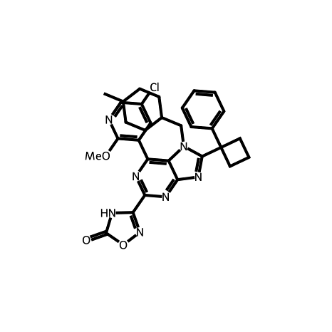 COc1ncc(Cl)cc1-c1nc(-c2noc(=O)[nH]2)nc2nc(C3(c4ccccc4)CCC3)n(CC3CCC(C)CC3)c12